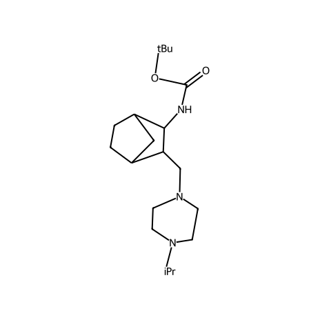 CC(C)N1CCN(CC2C3CCC(C3)C2NC(=O)OC(C)(C)C)CC1